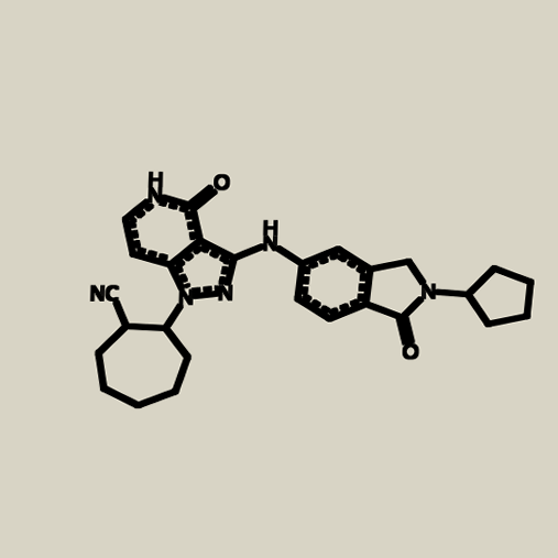 N#CC1CCCCCC1n1nc(Nc2ccc3c(c2)CN(C2CCCC2)C3=O)c2c(=O)[nH]ccc21